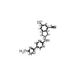 Cc1noc(-c2cnc(N[C@H]3Cc4cc(Cl)cc(C#N)c4C3)nc2)n1